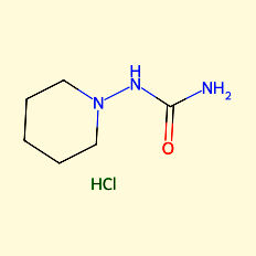 Cl.NC(=O)NN1CCCCC1